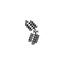 BrC(Br)(Br)C(Br)(Br)C(Br)(Br)C(Br)(Br)CNCC(Br)(Br)C(Br)(Br)C(Br)(Br)C(Br)(Br)Br